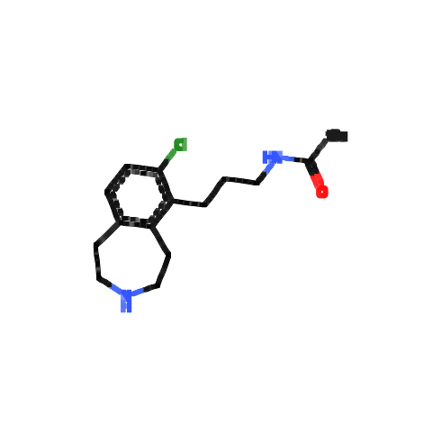 CC(C)(C)C(=O)NCCCc1c(Cl)ccc2c1CCNCC2